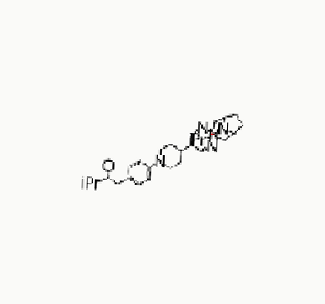 CC(C)C(=O)Cc1ccc(N2CCC(c3cnc(N4C5CCC4CN(C(C)C)C5)nc3)CC2)cc1